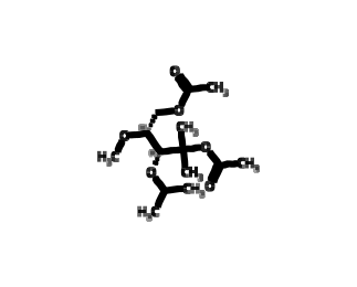 CO[C@H](COC(C)=O)[C@@H](OC(C)C)C(C)(C)OC(C)=O